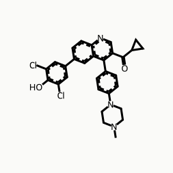 CN1CCN(c2ccc(-c3c(C(=O)C4CC4)cnc4ccc(-c5cc(Cl)c(O)c(Cl)c5)cc34)cc2)CC1